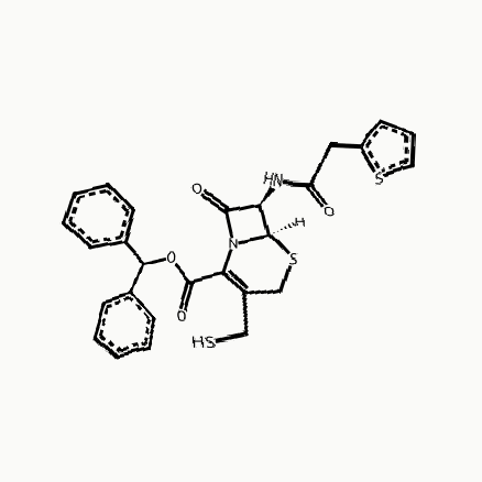 O=C(Cc1cccs1)N[C@@H]1C(=O)N2C(C(=O)OC(c3ccccc3)c3ccccc3)=C(CS)CS[C@H]12